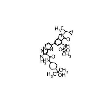 C[C@@H](C1CC1)N1Cc2cc(-c3ccn4nc(N)c(C(=O)NC5CCC(C(C)(C)O)CC5)c4n3)cc(NS(C)(=O)=O)c2C1=O